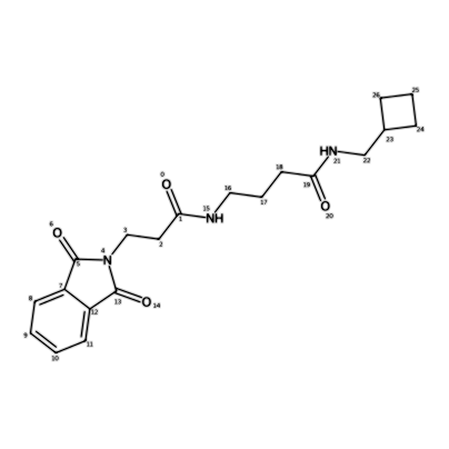 O=C(CCN1C(=O)c2ccccc2C1=O)NCCCC(=O)NCC1CCC1